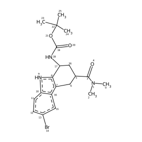 CN(C)C(=O)C1Cc2c([nH]c3ccc(Br)cc23)C(NC(=O)OC(C)(C)C)C1